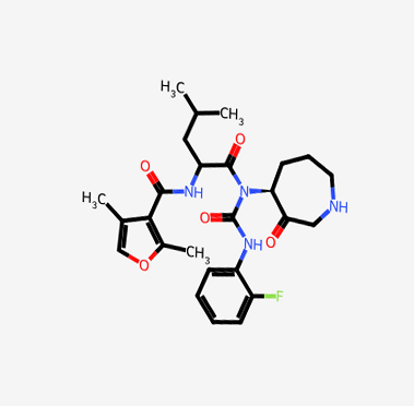 Cc1coc(C)c1C(=O)NC(CC(C)C)C(=O)N(C(=O)Nc1ccccc1F)[C@H]1CCCNCC1=O